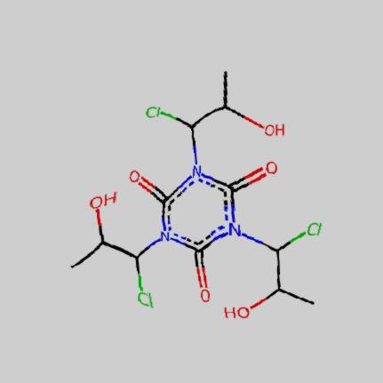 CC(O)C(Cl)n1c(=O)n(C(Cl)C(C)O)c(=O)n(C(Cl)C(C)O)c1=O